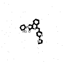 O=C1c2nc(Cc3ccc(-n4cccn4)nc3)c3ccccc3c2CN1[C@@H]1CCCC[C@H]1O